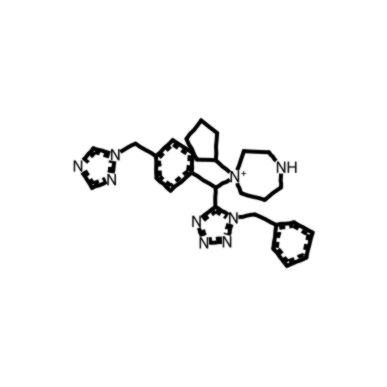 c1ccc(Cn2nnnc2C(c2ccc(Cn3cncn3)cc2)[N+]2(C3CCCC3)CCCNCC2)cc1